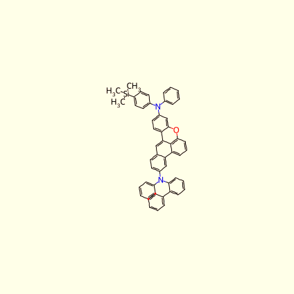 C[Si](C)(C)c1ccc(N(c2ccccc2)c2ccc3c(c2)Oc2cccc4c2c-3cc2ccc(N(c3ccccc3)c3ccccc3-c3ccccc3)cc24)cc1